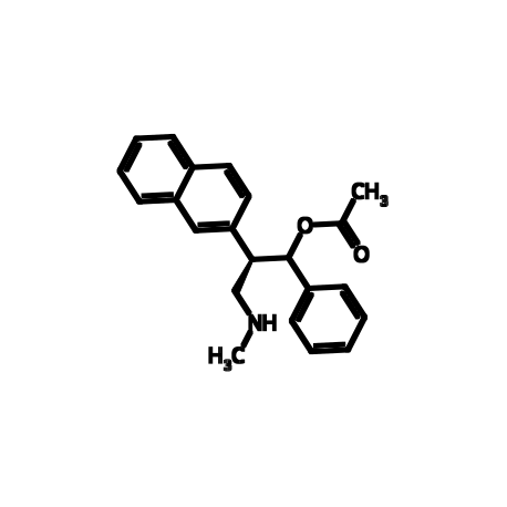 CNC[C@@H](c1ccc2ccccc2c1)C(OC(C)=O)c1ccccc1